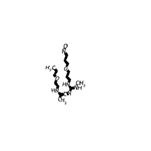 CCCOCCNC(C)=C=NC(NC)NCCCOCCCN=O